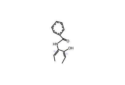 C/C=C(O)\C(=C/C)NC(=O)c1ccccc1